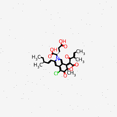 C/C=C(\C)C(=O)C1=C2C3=CN([C@@H](CCC(=O)O)C(=O)O)C(/C=C/[C@@H](C)CC)=CC3=C(Cl)C(=O)[C@@]2(C)OC1=O